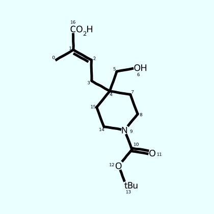 C/C(=C\CC1(CO)CCN(C(=O)OC(C)(C)C)CC1)C(=O)O